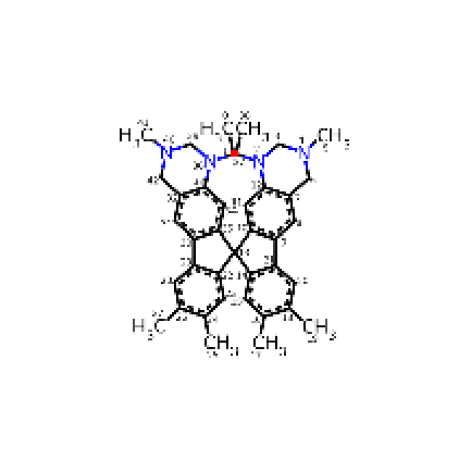 CCN1CN(C)Cc2cc3c(cc21)C1(c2cc(C)c(C)cc2-3)c2cc(C)c(C)cc2-c2cc3c(cc21)N(CC)CN(C)C3